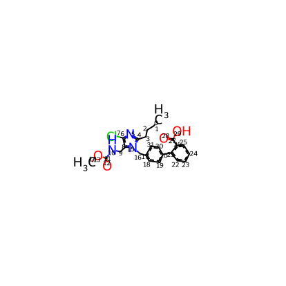 CCCCc1nc(Cl)c(CNC(=O)OC)n1Cc1ccc(-c2ccccc2C(=O)O)cc1